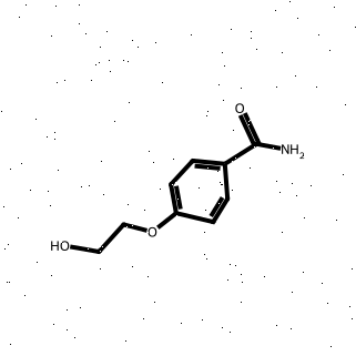 NC(=O)c1ccc(OCCO)cc1